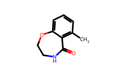 Cc1cccc2c1C(=O)NCCO2